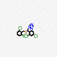 Fc1cccc(Cl)c1CSC(Cn1cncn1)c1ccc(Cl)cc1Cl